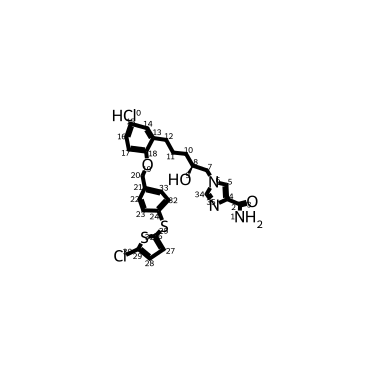 Cl.NC(=O)c1cn(C[C@@H](O)CCCc2ccccc2OCc2ccc(Sc3ccc(Cl)s3)cc2)cn1